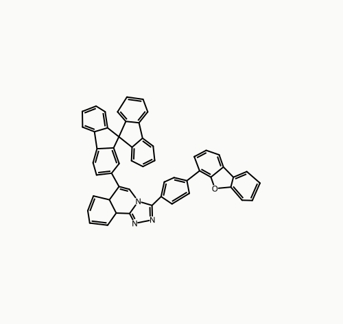 C1=CC2C(c3ccc4c(c3)C3(c5ccccc5-c5ccccc53)c3ccccc3-4)=Cn3c(-c4ccc(-c5cccc6c5oc5ccccc56)cc4)nnc3C2C=C1